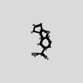 NC(=O)c1ccc2oc3c(c2c1)CC=C3